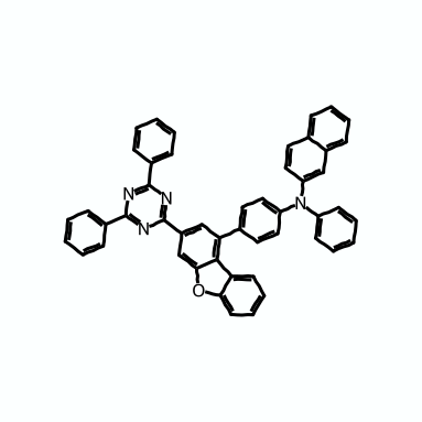 c1ccc(-c2nc(-c3ccccc3)nc(-c3cc(-c4ccc(N(c5ccccc5)c5ccc6ccccc6c5)cc4)c4c(c3)oc3ccccc34)n2)cc1